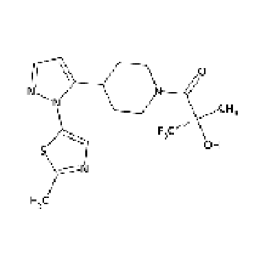 Cc1ncc(-n2nccc2C2CCN(C(=O)[C@@](C)(O)C(F)(F)F)CC2)s1